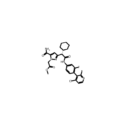 COC(=O)Cn1nc([C@@H](C(=O)Nc2ccc(-c3c(Cl)ccnc3C)c(F)c2)C2CCCCC2)cc1C(N)=O